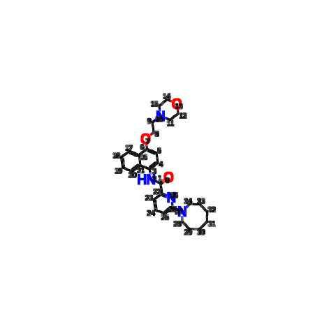 O=C(Nc1ccc(OCCN2CCOCC2)c2ccccc12)c1cccc(N2CCCCCCC2)n1